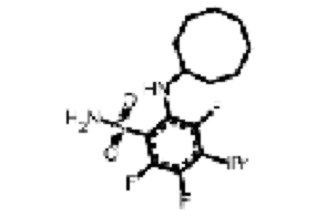 CC(C)c1c(F)c(F)c(S(N)(=O)=O)c(NC2CCCCCCC2)c1F